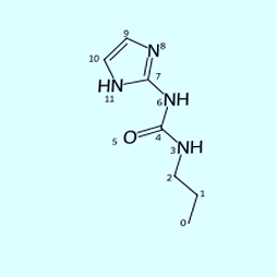 CCCNC(=O)Nc1ncc[nH]1